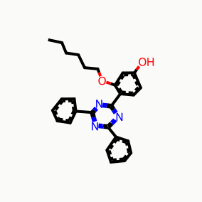 CCCCCCOc1cc(O)ccc1-c1nc(-c2ccccc2)nc(-c2ccccc2)n1